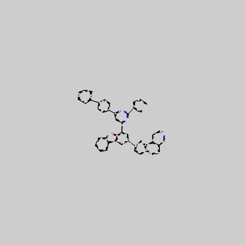 c1ccc(-c2ccc(-c3cc(-c4cc(-c5ccc6ccc7cnccc7c6c5)cc5c4oc4ccccc45)nc(-c4ccccc4)n3)cc2)cc1